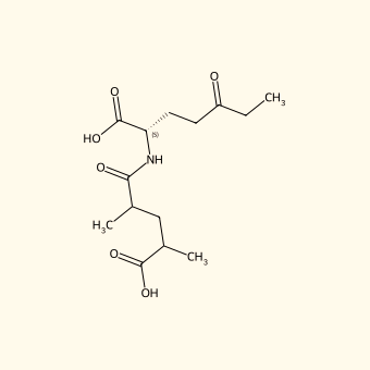 CCC(=O)CC[C@H](NC(=O)C(C)CC(C)C(=O)O)C(=O)O